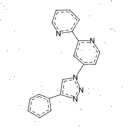 c1ccc(-c2cn(-c3ccnc(-c4ccccn4)c3)nn2)cc1